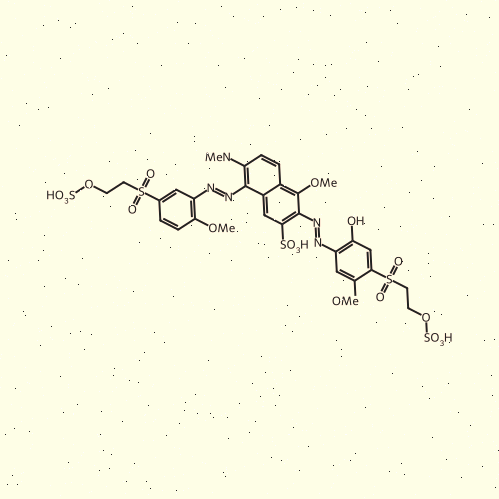 CNc1ccc2c(OC)c(/N=N/c3cc(OC)c(S(=O)(=O)CCOS(=O)(=O)O)cc3O)c(S(=O)(=O)O)cc2c1/N=N/c1cc(S(=O)(=O)CCOS(=O)(=O)O)ccc1OC